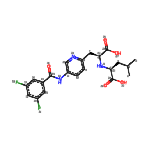 CC(C)C[C@H](N[C@@H](Cc1ccc(NC(=O)c2cc(F)cc(F)c2)cn1)C(=O)O)C(=O)O